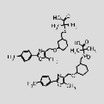 Cc1ccc(-c2nc(COC3CCCC(CSC(C)(C)C(=O)O)C3)c(C)o2)cc1.Cc1ccc(-c2nc(COC3CCCC(C[S+]([O-])C(C)(C)C(=O)O)C3)c(C)o2)cc1